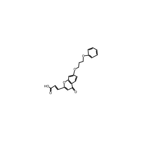 O=C(O)C=Cc1cc(=O)c2ccc(OCCCOc3ccccc3)cc2o1